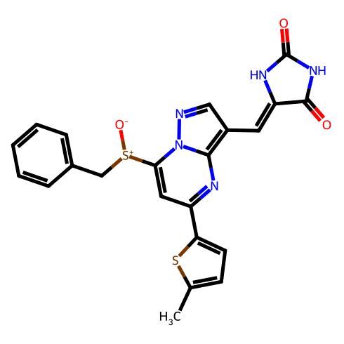 Cc1ccc(-c2cc([S+]([O-])Cc3ccccc3)n3ncc(/C=C4\NC(=O)NC4=O)c3n2)s1